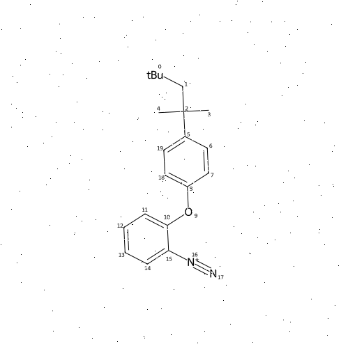 CC(C)(C)CC(C)(C)c1ccc(Oc2ccccc2[N+]#N)cc1